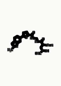 CCCCCC(CN(O)C=O)C(=O)NCNC(=O)c1ccc(-c2ccc3cn(C)nc3c2)o1